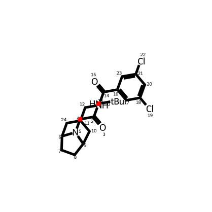 CC(C)(C)NC(=O)CN1C2CCC1CC(CNC(=O)c1cc(Cl)cc(Cl)c1)C2